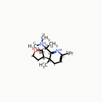 CC(C)C1=CCC(C)([C@H]2CCOC2)C(C(C)(C)N(C)C)=N1